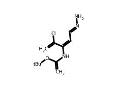 C=C(N/C(=C/C=N/N)C(=C)Cl)OC(C)(C)C